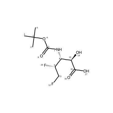 CC(C)(C)OC(=O)N[C@@H]([C@@H](F)CF)[C@@H](O)C(=O)O